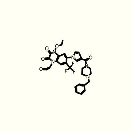 CCOn1c(=O)c(=O)n(C=C=O)c2cc(C(F)(F)F)c(-n3ccc(C(=O)N4CCN(Cc5ccccc5)CC4)c3)cc21